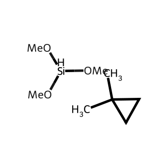 CC1(C)CC1.CO[SiH](OC)OC